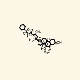 CC[C@@H]1C2C[C@H](O)CCC2(C)[C@H]2CC[C@]3(C)[C@@H]([C@H](C)C[C@H](C)NC(=O)NS(=O)(=O)C4CCCCC4)CC[C@H]3[C@H]2[C@@H]1O